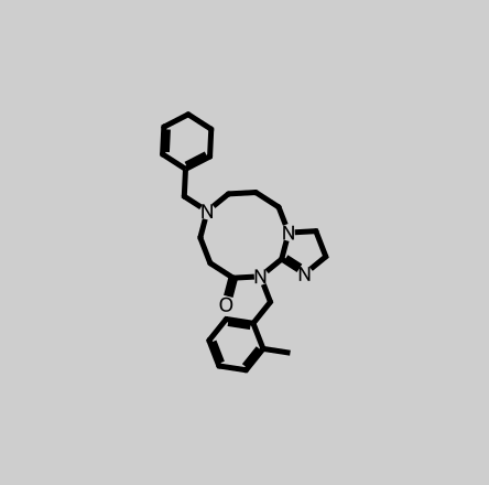 Cc1ccccc1CN1C(=O)CCN(CC2=CCCC=C2)CCCN2CCN=C21